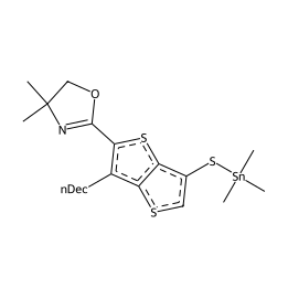 CCCCCCCCCCc1c(C2=NC(C)(C)CO2)sc2c([S][Sn]([CH3])([CH3])[CH3])csc12